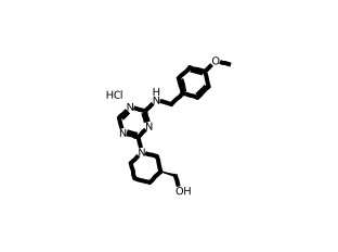 COc1ccc(CNc2ncnc(N3CCC[C@H](CO)C3)n2)cc1.Cl